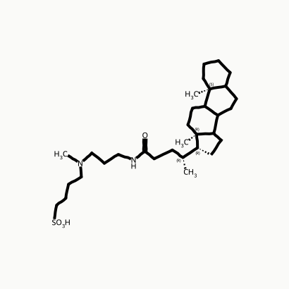 C[C@H](CCC(=O)NCCCN(C)CCCCS(=O)(=O)O)[C@H]1CCC2C3CCC4CCCC[C@]4(C)C3CC[C@@]21C